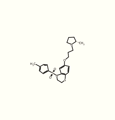 Cc1ccc(S(=O)(=O)N2CCSc3ccc(OCCCN4CCC[C@@H]4C)cc32)cc1